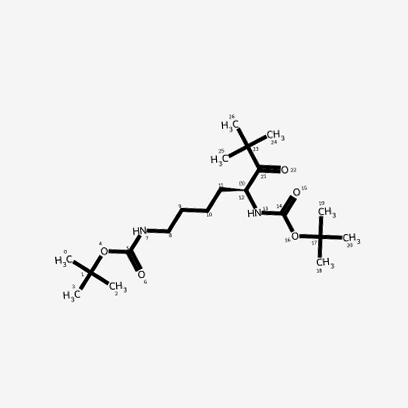 CC(C)(C)OC(=O)NCCCC[C@H](NC(=O)OC(C)(C)C)C(=O)C(C)(C)C